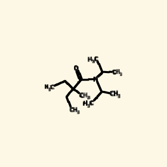 CCC(C)(CC)C(=O)N(C(C)C)C(C)C